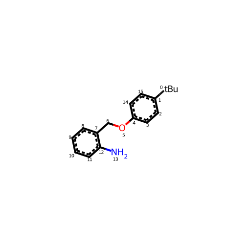 CC(C)(C)c1ccc(OCc2ccccc2N)cc1